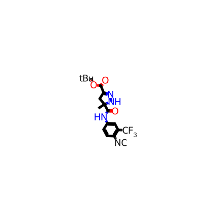 [C-]#[N+]c1ccc(NC(=O)C2(C)CC(C(=O)OC(C)(C)C)=NN2)cc1C(F)(F)F